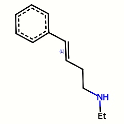 CCNCC/C=C/c1ccccc1